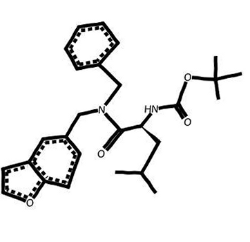 CC(C)C[C@H](NC(=O)OC(C)(C)C)C(=O)N(Cc1ccccc1)Cc1ccc2occc2c1